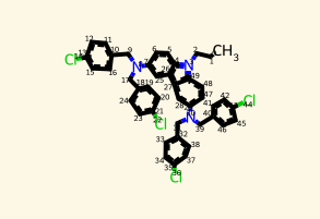 CCCn1c2ccc(N(Cc3ccc(Cl)cc3)Cc3ccc(Cl)cc3)cc2c2cc(N(Cc3ccc(Cl)cc3)Cc3ccc(Cl)cc3)ccc21